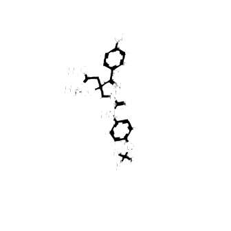 C=C(C)CC1(C)CN(C(=O)Nc2ccc(OC(F)(F)F)cc2)N=C1c1ccc(Cl)cc1